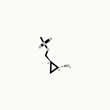 CS(=O)(=O)OC[C@@H]1C[C@H]1[N+](=O)[O-]